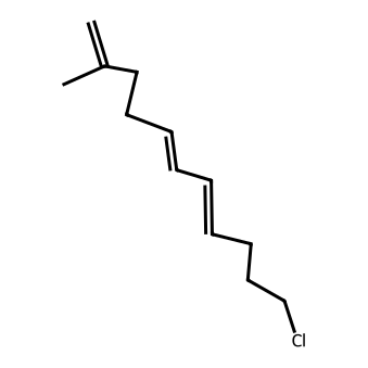 C=C(C)CCC=CC=CCCCCl